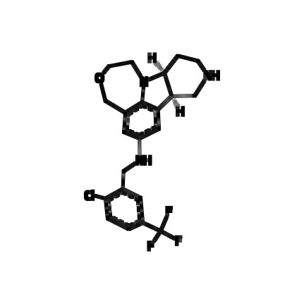 FC(F)(F)c1ccc(Cl)c(CNc2cc3c4c(c2)[C@@H]2CNCC[C@@H]2N4CCOC3)c1